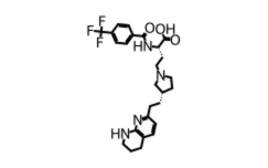 O=C(N[C@@H](CCN1CC[C@H](CCc2ccc3c(n2)NCCC3)C1)C(=O)O)c1ccc(C(F)(F)F)cc1